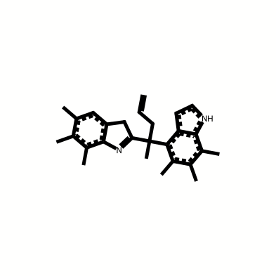 C=CCC(C)(C1=Nc2c(cc(C)c(C)c2C)C1)c1c(C)c(C)c(C)c2[nH]ccc12